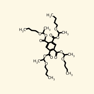 CCCCOC(C)OC(=O)c1cc(C(=O)OC(C)OCCCC)c(C(=O)OC(C)OCCCC)cc1C(=O)OC(C)OCCCC